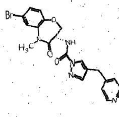 CN1C(=O)[C@@H](NC(=O)n2cc(Cc3ccncc3)cn2)COc2ccc(Br)cc21